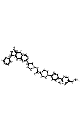 C=C(/N=C\C(F)=C/N)c1ccc(N2CCN(C(=O)CN3CCC(c4ncc5cc6[nH]nc(-c7ccncc7)c6cc5n4)C3)CC2)cc1